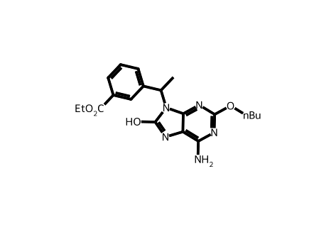 CCCCOc1nc(N)c2nc(O)n(C(C)c3cccc(C(=O)OCC)c3)c2n1